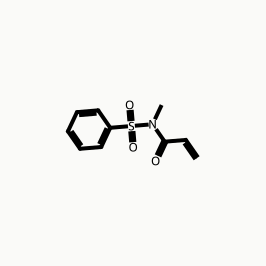 C=CC(=O)N(C)S(=O)(=O)c1ccccc1